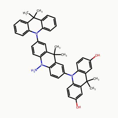 CC1(C)c2cc(N3c4ccccc4C(C)(C)c4ccccc43)ccc2N(N)c2ccc(N3c4ccc(O)cc4C(C)(C)c4cc(O)ccc43)cc21